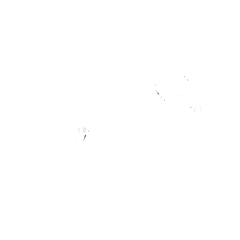 CCC1(CC)CC(=O)N([C@@H]2CCCc3ccc(C(=O)N[C@@H]4c5ccccc5OC[C@H]4O)cc32)C(=N)N1